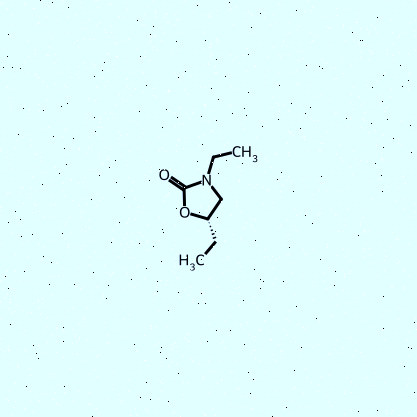 CC[C@H]1CN(CC)C(=O)O1